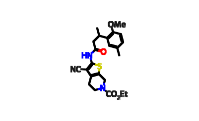 CCOC(=O)N1CCc2c(sc(NC(=O)CC(C)c3cc(C)ccc3OC)c2C#N)C1